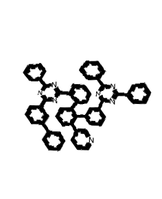 c1ccc(-c2cccc(-c3nc(-c4ccccc4)nc(-c4ccccc4-c4cccc(-c5cccnc5)c4-c4cccc(-c5nc(-c6ccccc6)nc(-c6ccccc6)n5)c4)n3)c2)cc1